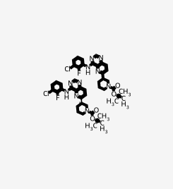 CC(C)(C)OC(=O)N1CCCC(c2ccc3ncnc(Nc4cccc(Cl)c4F)c3n2)C1.CC(C)(C)OC(=O)N1CCC[C@@H](c2ccc3ncnc(Nc4cccc(Cl)c4F)c3n2)C1